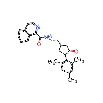 Cc1cc(C)c(C2CC(CCNC(=O)c3nccc4ccccc34)CC2=O)c(C)c1